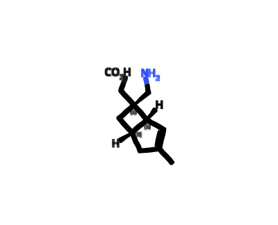 CC1=C[C@@H]2[C@H](C1)C[C@]2(CN)CC(=O)O